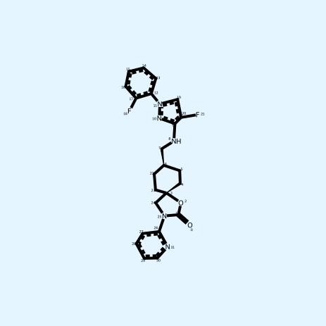 O=C1O[C@]2(CC[C@H](CNc3nn(-c4ccccc4F)cc3F)CC2)CN1c1ccccn1